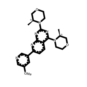 COc1cncc(-c2ccc3c(N4CCOC[C@@H]4C)nc(N4CCOC[C@@H]4C)nc3n2)c1